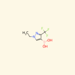 CCn1cc(B(O)O)c(C(F)(F)F)n1